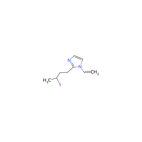 C=Cn1ccnc1CCC(C)I